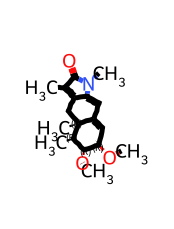 CO[C@H]1[C@H](OC)C=C2C=C3C(=C(C)C(=O)N3C)C[C@]2(C)[C@H]1C